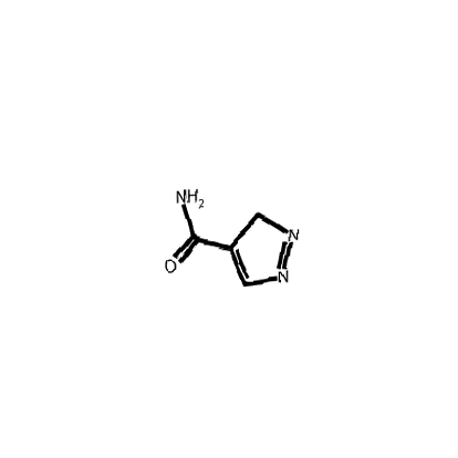 NC(=O)C1=CN=NC1